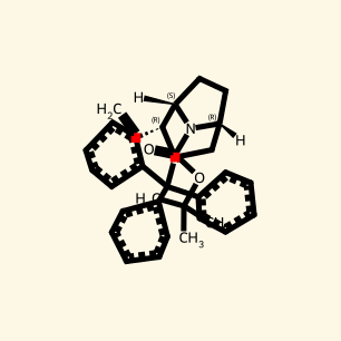 C=C[C@@H]1[C@@H]2CC[C@H](CN1C(c1ccccc1)(c1ccccc1)c1ccccc1)N2C(=O)OC(C)(C)C